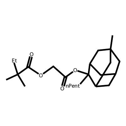 CCCCCC1(OC(=O)COC(=O)C(C)(C)CC)C2CC3CC1CC(C)(C3)C2